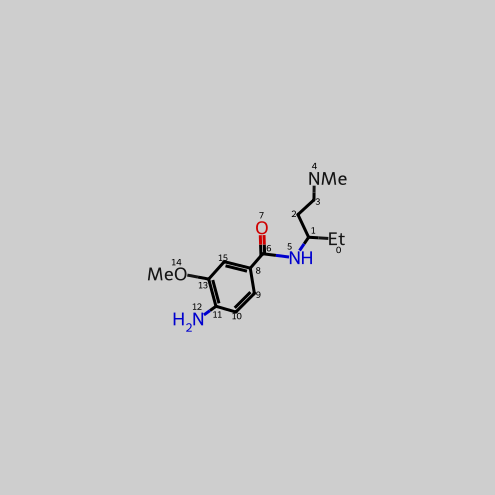 CCC(CCNC)NC(=O)c1ccc(N)c(OC)c1